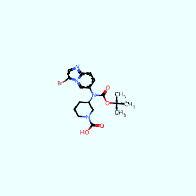 CC(C)(C)OC(=O)N(c1ccc2ncc(Br)n2c1)[C@@H]1CCCN(C(=O)O)C1